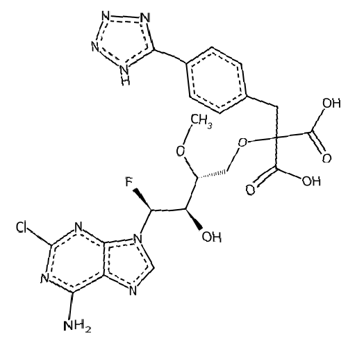 CO[C@H](COC(Cc1ccc(-c2nnn[nH]2)cc1)(C(=O)O)C(=O)O)[C@@H](O)[C@H](F)n1cnc2c(N)nc(Cl)nc21